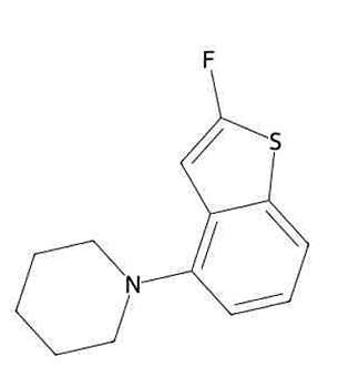 Fc1cc2c(N3CCCCC3)cccc2s1